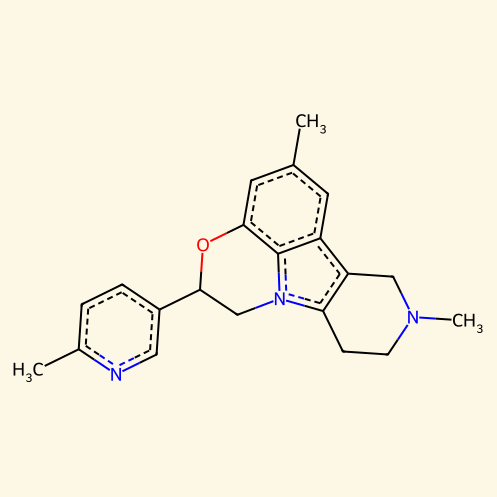 Cc1cc2c3c(c1)c1c(n3CC(c3ccc(C)nc3)O2)CCN(C)C1